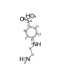 NCCNc1ccc([SH](=O)=O)cc1